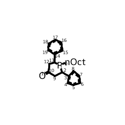 CCCCCCCCP1C(c2ccccc2)CC(=O)CC1c1ccccc1